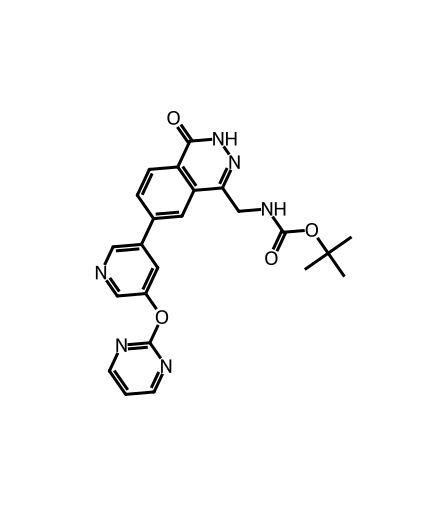 CC(C)(C)OC(=O)NCc1n[nH]c(=O)c2ccc(-c3cncc(Oc4ncccn4)c3)cc12